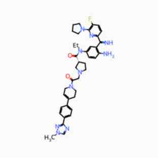 CCN(C(=O)[C@@H]1CCN(CC(=O)N2CC=C(c3ccc(-c4ncn(C)n4)cc3)CC2)C1)c1ccc(N)c(C(=N)c2ccc(F)c(N3CCCC3)n2)c1